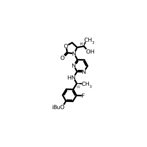 CC(C)COc1ccc([C@H](C)Nc2nccc(N3C(=O)OCC3[C@@H](C)O)n2)c(F)c1